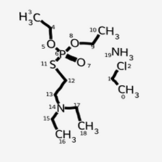 CCCl.CCOP(=O)(OCC)SCCN(CC)CC.N